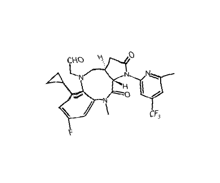 Cc1cc(C(F)(F)F)cc(N2C(=O)C[C@@H]3CN(CC=O)c4c(C5CC5)cc(F)cc4N(C)C(=O)[C@H]32)n1